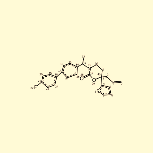 C=CC[C@]1(c2cccs2)CCN(C(C)c2ccc(-c3ccc(F)cc3)cc2)C(=O)O1